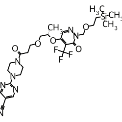 C[C@@H](COCCC(=O)N1CCN(c2ncc(C#N)cn2)CC1)Oc1cnn(COCC[Si](C)(C)C)c(=O)c1C(F)(F)F